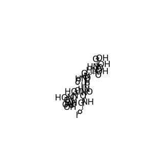 O=C(O)CC[C@H](NC(=O)N[C@@H](CCCCNC(=O)[C@@H](Cc1ccc2ccccc2c1)NC(=O)[C@H]1CC[C@H](CNC(=O)C(CCCCNC(=O)CCCc2ccc(I)cc2)NC(=O)CCC(C(=O)O)N2CCN(CC(=O)O)CCN(Cc3cccc(P(=O)(O)O)n3)CC2)CC1)C(=O)O)C(=O)O